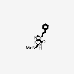 CNCc1nc2ncn(CCCc3ccccc3)c2c(=O)[nH]1